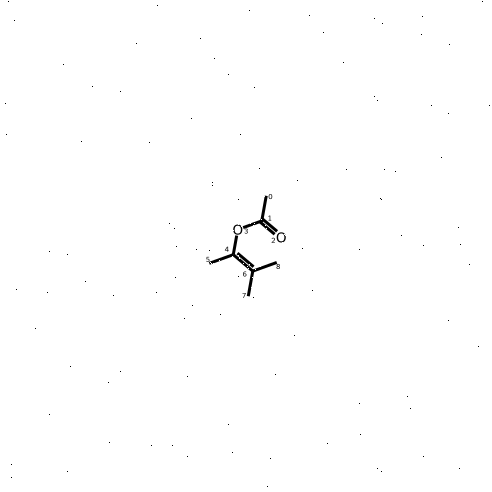 CC(=O)OC(C)=C(C)C